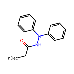 CCCCCCCCCCCC(=O)NN(c1ccccc1)c1ccccc1